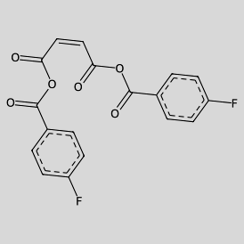 O=C(/C=C\C(=O)OC(=O)c1ccc(F)cc1)OC(=O)c1ccc(F)cc1